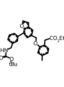 CCOC(=O)Cc1ccc(C)cc1OCc1cc(-c2cccc(CNC(=O)OC(C)(C)C)c2)c2occc2c1